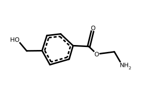 NCOC(=O)c1ccc(CO)cc1